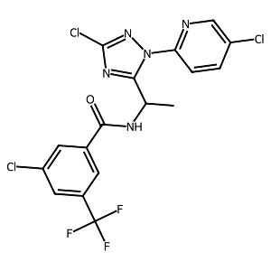 CC(NC(=O)c1cc(Cl)cc(C(F)(F)F)c1)c1nc(Cl)nn1-c1ccc(Cl)cn1